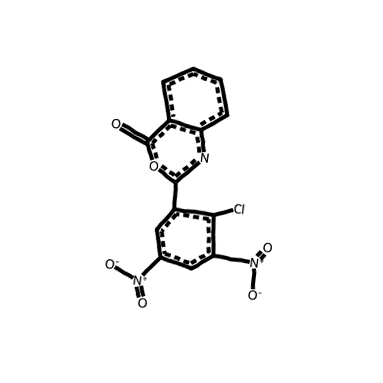 O=c1oc(-c2cc([N+](=O)[O-])cc([N+](=O)[O-])c2Cl)nc2ccccc12